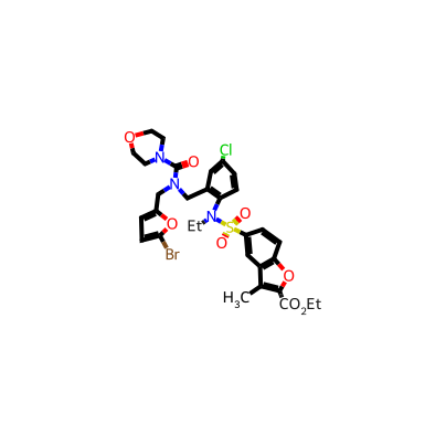 CCOC(=O)c1oc2ccc(S(=O)(=O)N(CC)c3ccc(Cl)cc3CN(Cc3ccc(Br)o3)C(=O)N3CCOCC3)cc2c1C